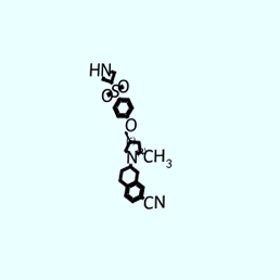 C[C@@H]1C[C@H](COc2ccc(S(=O)(=O)C3CNC3)cc2)CN1C1CCc2ccc(C#N)cc2C1